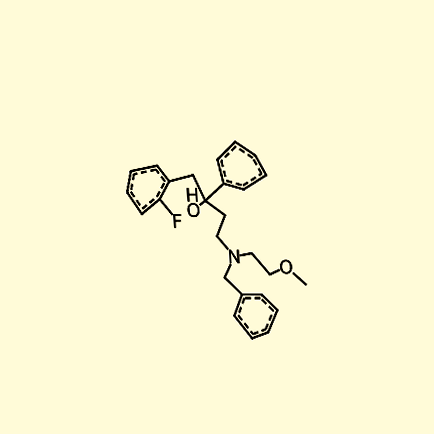 COCCN(CCC(O)(Cc1ccccc1F)c1ccccc1)Cc1ccccc1